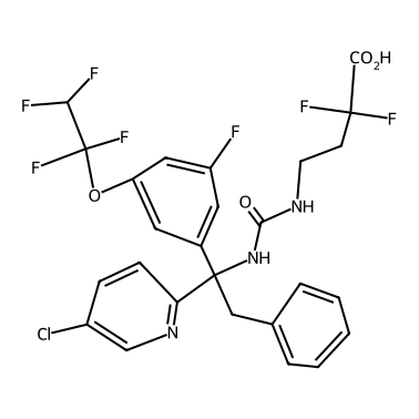 O=C(NCCC(F)(F)C(=O)O)NC(Cc1ccccc1)(c1cc(F)cc(OC(F)(F)C(F)F)c1)c1ccc(Cl)cn1